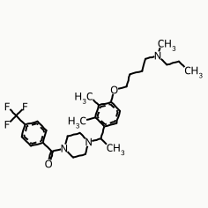 CCCN(C)CCCCOc1ccc(C(C)N2CCN(C(=O)c3ccc(C(F)(F)F)cc3)CC2)c(C)c1C